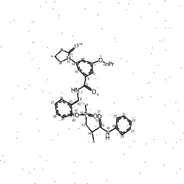 CCCOc1cc(C(=O)N[C@H](CP(=O)(O)CC(C)C(=O)Nc2ccccc2)c2ccccc2)cc(N2CCCC2=O)c1